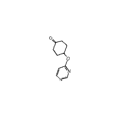 O=C1CCC(Oc2ccncn2)CC1